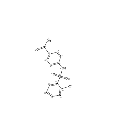 O=C(O)c1ccc(NS(=O)(=O)c2cccnc2Cl)cc1